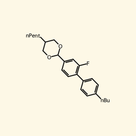 CCCCCC1COC(c2ccc(-c3ccc(CCCC)cc3)c(F)c2)OC1